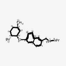 CCCNCc1ccc2cc(O[C@@H]3C[C@H](C)CC[C@H]3C(C)C)ccc2c1